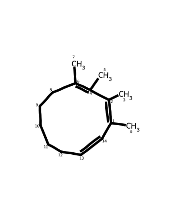 CC1=C(C)C(C)=C(C)CCCCCC=C1